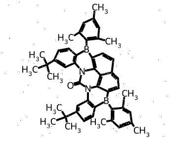 Cc1cc(C)c(B2c3ccc(C(C)(C)C)cc3N3C(=O)N4c5cc(C(C)(C)C)ccc5B(c5c(C)cc(C)cc5C)c5ccc6ccc2c3c6c54)c(C)c1